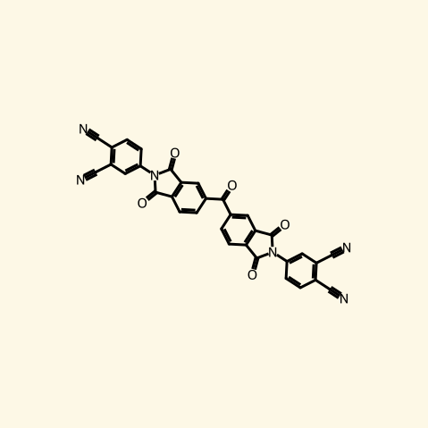 N#Cc1ccc(N2C(=O)c3ccc(C(=O)c4ccc5c(c4)C(=O)N(c4ccc(C#N)c(C#N)c4)C5=O)cc3C2=O)cc1C#N